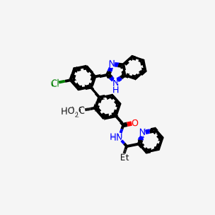 CCC(NC(=O)c1ccc(-c2cc(Cl)ccc2-c2nc3ccccc3[nH]2)c(C(=O)O)c1)c1ccccn1